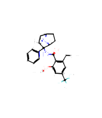 CCc1cc(C(F)(F)F)cc(OC)c1C(=O)NC1(c2ccccc2)CCC2CCC1N2C